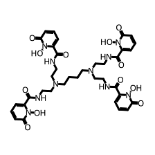 O=C(NCCN(CCCCN(CCNC(=O)c1cccc(=O)n1O)CCNC(=O)c1cccc(=O)n1O)CCNC(=O)c1cccc(=O)n1O)c1cccc(=O)n1O